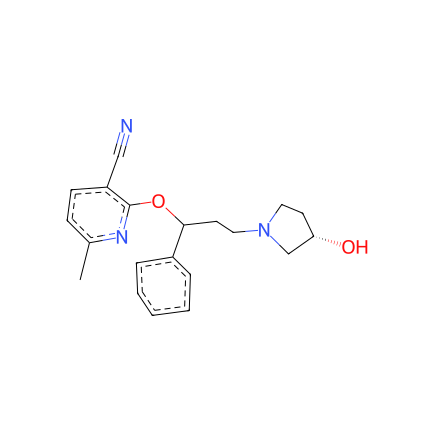 Cc1ccc(C#N)c(OC(CCN2CC[C@H](O)C2)c2ccccc2)n1